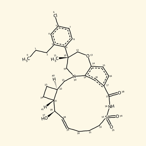 CCCc1cc(Cl)ccc1[C@]1(C)COc2ccc3cc2N(C[C@@H]2CC[C@H]2[C@H](O)/C=C/CCCS(=O)(=O)NC3=O)C1